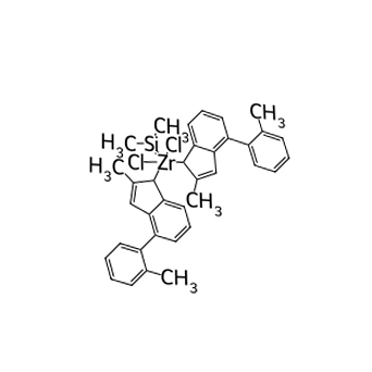 CC1=Cc2c(-c3ccccc3C)cccc2[CH]1[Zr]([Cl])([Cl])([CH]1C(C)=Cc2c(-c3ccccc3C)cccc21)=[Si](C)C